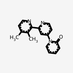 Cc1ccnc(-c2cc(-n3ccccc3=O)ccn2)c1C